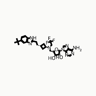 CC(C)(C)c1ccc2[nH]c(CC[C@H]3C[C@H](N(C[C@H]4O[C@@H](n5cnc6c(N)ncnc65)[C@H](O)[C@@H]4O)CC(F)(F)F)C3)nc2c1